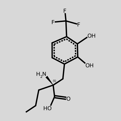 CCC[C@](N)(Cc1ccc(C(F)(F)F)c(O)c1O)C(=O)O